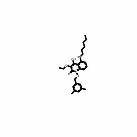 CCCCCCNc1cccc2c1c(O)c(OCC)c(=O)n2OCc1cc(C)cc(C)c1